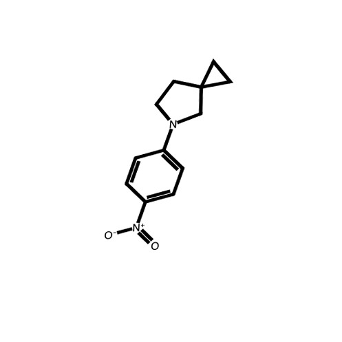 O=[N+]([O-])c1ccc(N2CCC3(CC3)C2)cc1